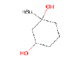 CCCCC1(O)CCCC(O)C1